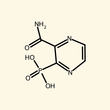 NC(=O)c1nccnc1P(=O)(O)O